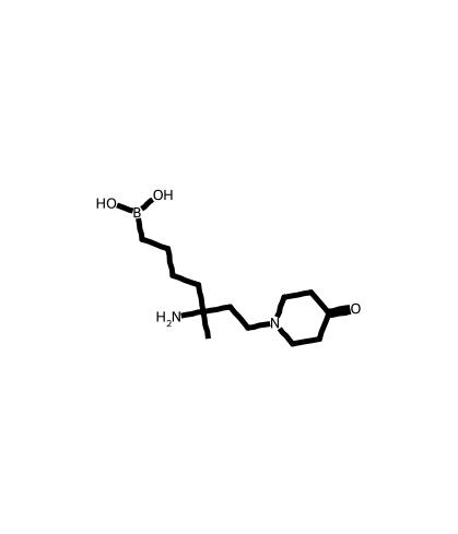 CC(N)(CCCCB(O)O)CCN1CCC(=O)CC1